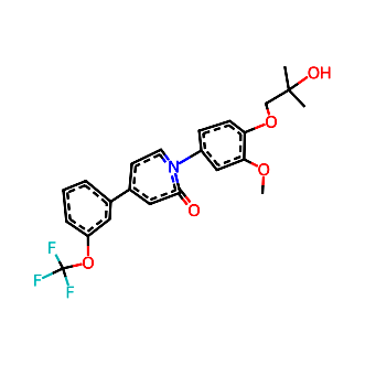 COc1cc(-n2ccc(-c3cccc(OC(F)(F)F)c3)cc2=O)ccc1OCC(C)(C)O